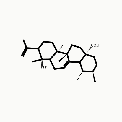 C=C(C)C1CC[C@]2(C)C(CC=C3C4[C@@H](C)[C@H](C)CC[C@]4(C(=O)O)CC[C@]32C)[C@@]1(C)CCC